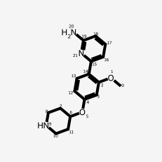 COc1cc(OC2CCNCC2)ccc1-c1cccc(N)n1